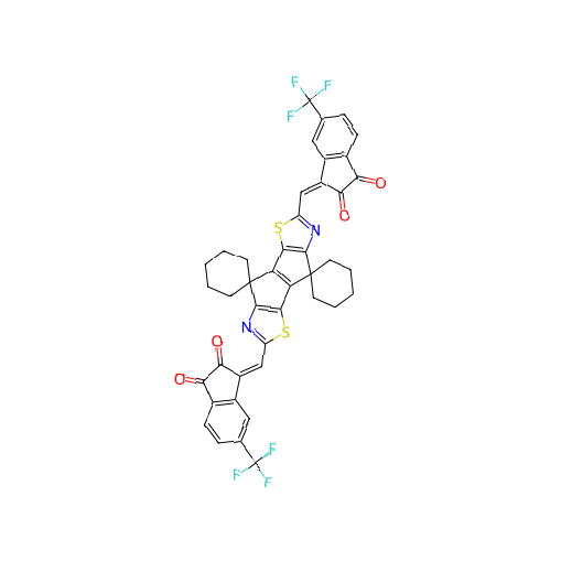 O=C1C(=O)c2ccc(C(F)(F)F)cc2/C1=C/c1nc2c(s1)C1=C(c3sc(/C=C4\C(=O)C(=O)c5ccc(C(F)(F)F)cc54)nc3C13CCCCC3)C21CCCCC1